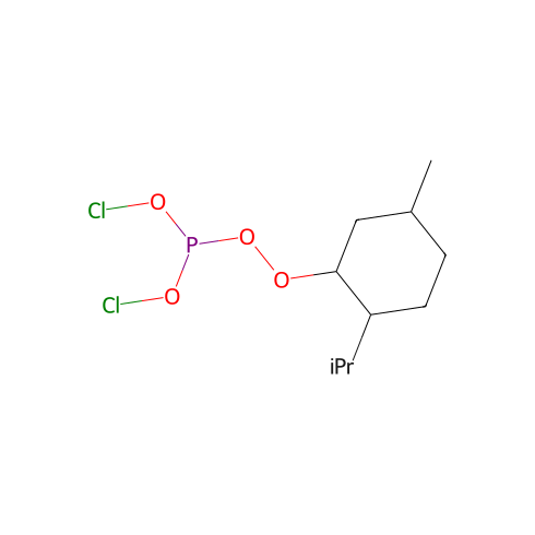 CC1CCC(C(C)C)C(OOP(OCl)OCl)C1